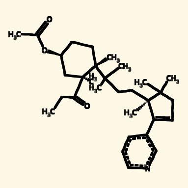 CCC(=O)[C@@]1(C)C[C@@H](OC(C)=O)CC[C@]1(C)C(C)(C)CC[C@]1(C)C(c2cccnc2)=CCC1(C)C